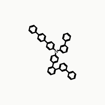 c1ccc(-c2ccc(-c3ccc(N(c4ccc(-c5ccccc5-c5cccc(-c6ccccc6)c5)cc4)c4cccc(-c5ccccc5)c4)cc3)cc2)cc1